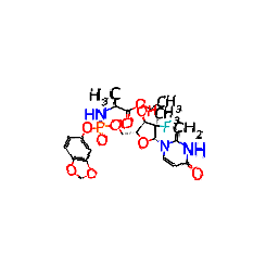 C=C1NC(=O)C=CN1[C@@H]1O[C@H](CO[P@@](=O)(N[C@@H](C)C(=O)OCC)Oc2ccc3c(c2)OCO3)[C@@H](O)[C@@]1(C)F